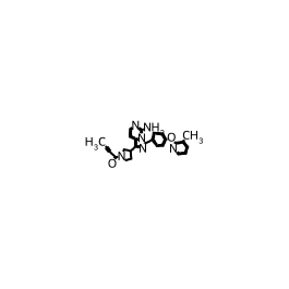 CC#CC(=O)N1CCC(c2nc(-c3ccc(Oc4ncccc4C)cc3)n3c(N)nccc23)C1